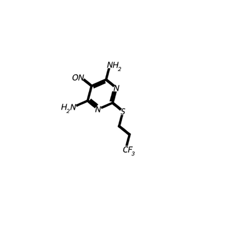 Nc1nc(SCCC(F)(F)F)nc(N)c1N=O